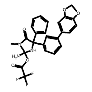 CN1C(=O)C(c2ccccc2)(c2cccc(-c3ccc4c(c3)OCO4)c2)NC1(N)OC(=O)C(F)(F)F